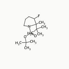 CC(C)(C)OC(=O)N1CCCC(F)C1(C)C(C)(C)C